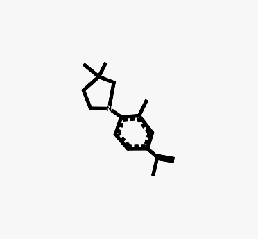 C=C(C)c1ccc(N2CCC(C)(C)C2)c(C)c1